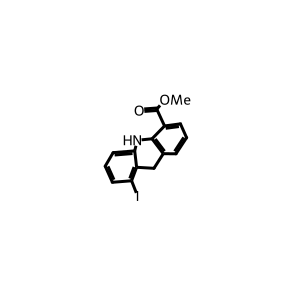 COC(=O)c1cccc2c1Nc1cccc(I)c1C2